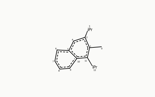 Cc1c(C(C)C)cc2ccccc2c1C(C)C